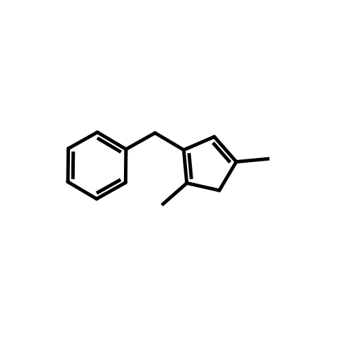 CC1=CC(Cc2ccccc2)=C(C)C1